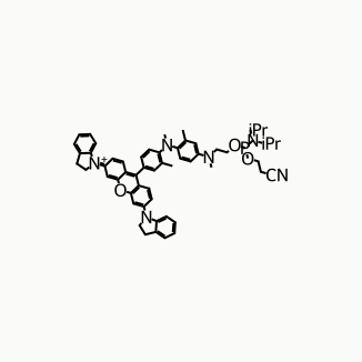 Cc1cc(-c2c3cc/c(=[N+]4/CCc5ccccc54)cc-3oc3cc(N4CCc5ccccc54)ccc23)ccc1N(C)c1ccc(N(C)CCOP(OCCC#N)N(C(C)C)C(C)C)cc1C